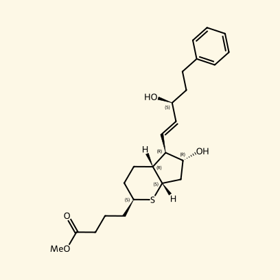 COC(=O)CCC[C@H]1CC[C@@H]2[C@@H](C=C[C@@H](O)CCc3ccccc3)[C@H](O)C[C@@H]2S1